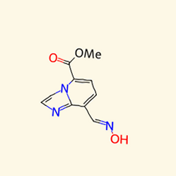 COC(=O)c1ccc(C=NO)c2nccn12